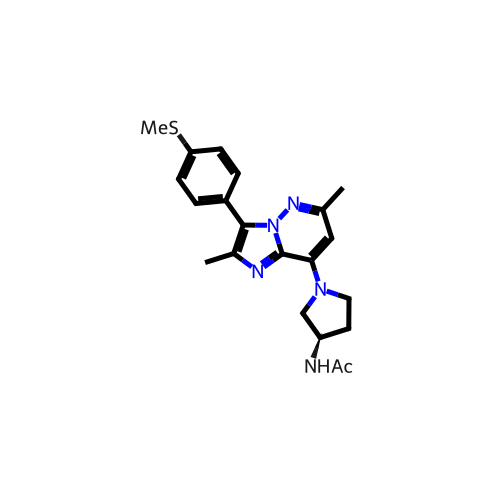 CSc1ccc(-c2c(C)nc3c(N4CC[C@@H](NC(C)=O)C4)cc(C)nn23)cc1